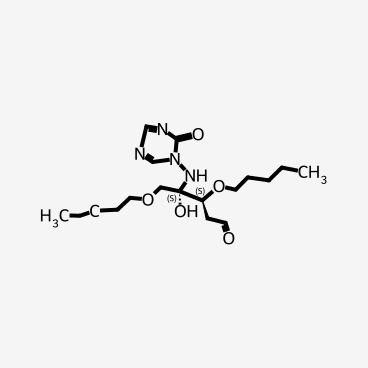 CCCCCOC[C@@](O)(Nn1cncnc1=O)[C@H](CC=O)OCCCCC